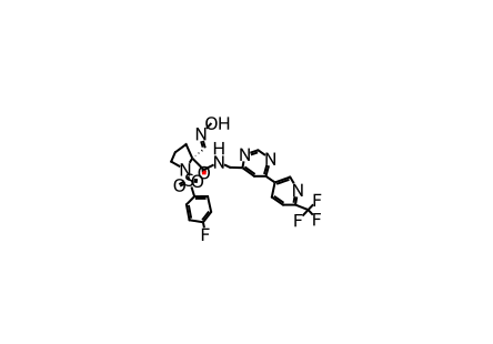 O=C(NCc1cc(-c2ccc(C(F)(F)F)nc2)ncn1)[C@]1(C=NO)CCCN1S(=O)(=O)c1ccc(F)cc1